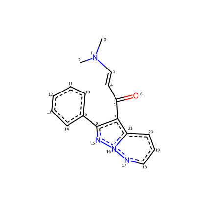 CN(C)C=CC(=O)c1c(-c2ccccc2)nn2ncccc12